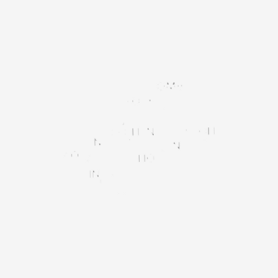 COC(=O)c1cc(O)nc(O)n1.Cn1c(C(=O)O)cc(=O)[nH]c1=O